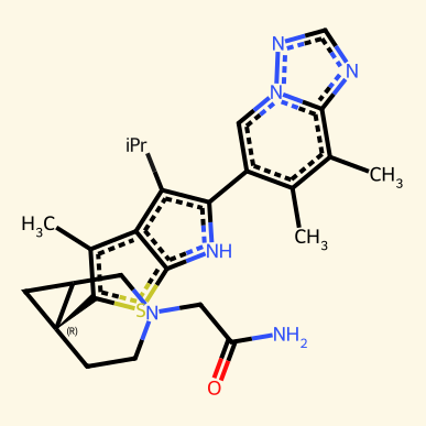 Cc1c(-c2[nH]c3sc([C@]45CCN(CC(N)=O)CC4C5)c(C)c3c2C(C)C)cn2ncnc2c1C